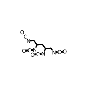 O=C=NCC(CC(CN=C=O)N=C=O)N=C=O